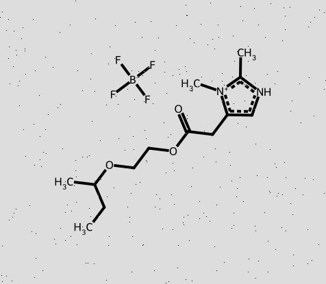 CCC(C)OCCOC(=O)Cc1c[nH]c(C)[n+]1C.F[B-](F)(F)F